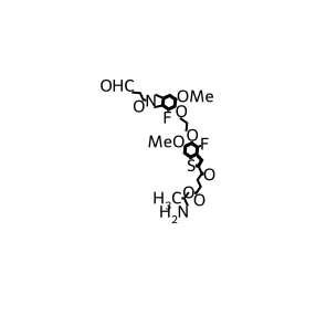 COc1cc2c(c(F)c1OCCCOc1c(OC)cc3sc(C(=O)CCC(=O)OC(C)CN)cc3c1F)CN(C(=O)CCC=O)C2